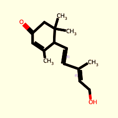 CC1=CC(=O)CC(C)(C)C1/C=C/C(C)=C/CO